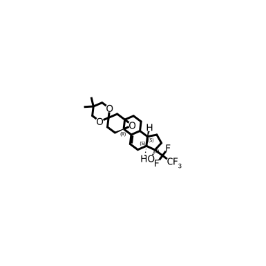 CC1(C)COC2(CC[C@]34OC3(CCC3C4=CC[C@@]4(C)[C@H]3CC[C@@]4(O)C(F)(F)C(F)(F)F)C2)OC1